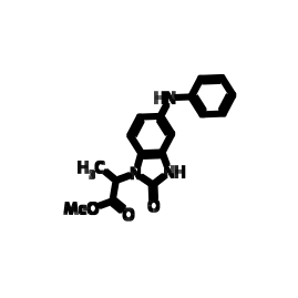 COC(=O)C(C)n1c(=O)[nH]c2cc(Nc3ccccc3)ccc21